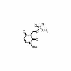 CC(C)(C)n1ccc(=O)n(COP(C)(=O)O)c1=O